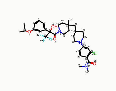 CC(C)Oc1cccc(C(O)(C(=O)N2CCC(C)(CC3CCN(c4ccc(C(=O)N(C)C)c(Cl)c4)CC3)CC2)C(F)(F)F)c1